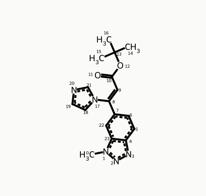 Cn1nnc2ccc(C(=CC(=O)OC(C)(C)C)n3ccnc3)cc21